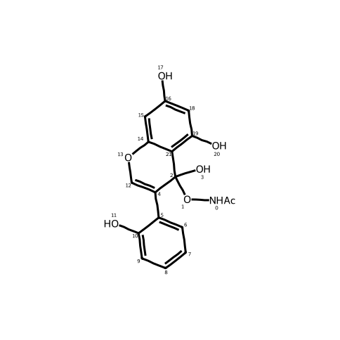 CC(=O)NOC1(O)C(c2ccccc2O)=COc2cc(O)cc(O)c21